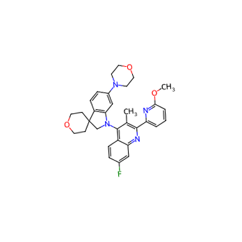 COc1cccc(-c2nc3cc(F)ccc3c(N3CC4(CCOCC4)c4ccc(N5CCOCC5)cc43)c2C)n1